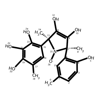 Cc1ccc(O)c([C@]2(C)C(O)=C(O)[C@](C)(c3cc(C)c(O)c(O)c3O)N2[O])c1